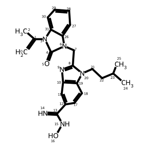 C=C(C)n1c(=O)n(Cc2nc3cc(C(=N)NO)ccc3n2CCC(C)C)c2ccccc21